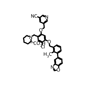 Cc1c(COc2cc(OCc3cncc(C#N)c3)c(CN3CCCC[C@H]3C(=O)O)cc2Cl)cccc1-c1ccc2ocnc2c1